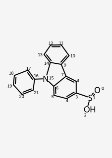 O=S(O)c1ccc2c(c1)c1ccccc1n2-c1ccccc1